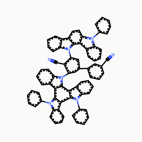 N#Cc1cccc(-c2cc(-n3c4ccccc4c4ccc5c(c6ccccc6n5-c5ccccc5)c43)c(C#N)c(-n3c4ccccc4c4c5c(c6ccccc6n5-c5ccccc5)c5c(c6ccccc6n5-c5ccccc5)c43)c2)c1